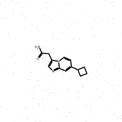 NC(=O)Cc1cnc2cc(C3CCC3)ccn12